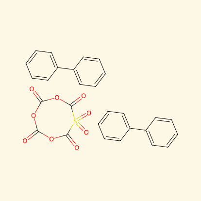 O=C1OC(=O)OC(=O)S(=O)(=O)C(=O)O1.c1ccc(-c2ccccc2)cc1.c1ccc(-c2ccccc2)cc1